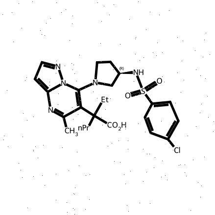 CCCC(CC)(C(=O)O)c1c(C)nc2ccnn2c1N1CC[C@@H](NS(=O)(=O)c2ccc(Cl)cc2)C1